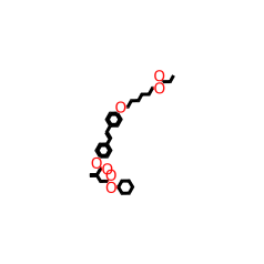 C=C(CC(=O)OC1CCCCC1)C(=O)Oc1ccc(/C=C/c2ccc(OCCCCCCOC(=O)CC)cc2)cc1